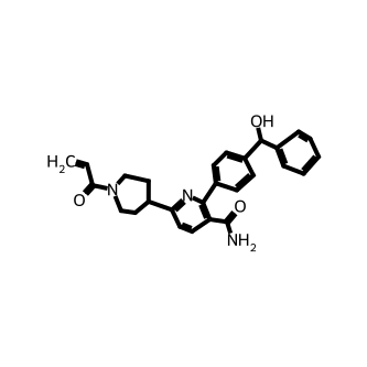 C=CC(=O)N1CCC(c2ccc(C(N)=O)c(-c3ccc(C(O)c4ccccc4)cc3)n2)CC1